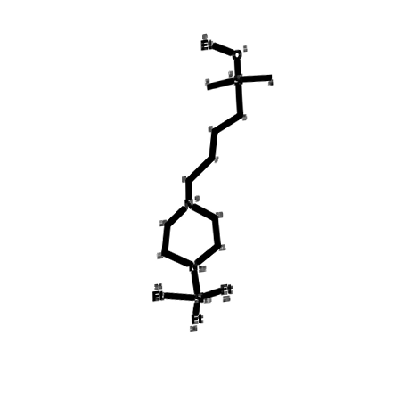 CCO[Si](C)(C)CCCCN1CCN([Si](CC)(CC)CC)CC1